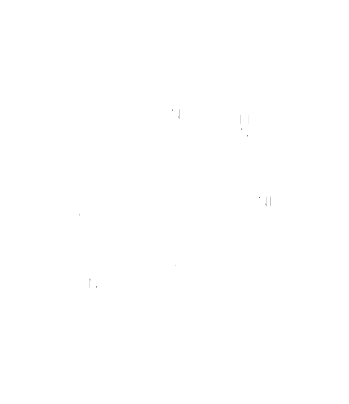 NC(=O)C(S)c1ccnc2c1CNCN2